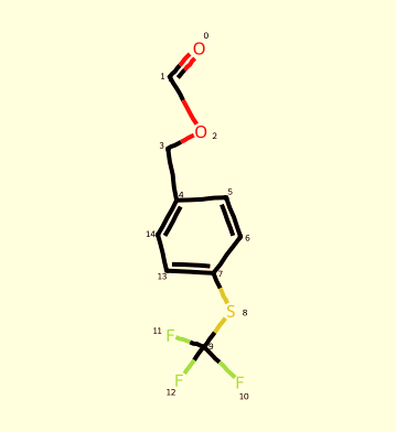 O=[C]OCc1ccc(SC(F)(F)F)cc1